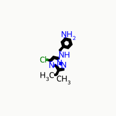 CC(C)c1cnn2c(NCc3cccc(N)c3)cc(Cl)nc12